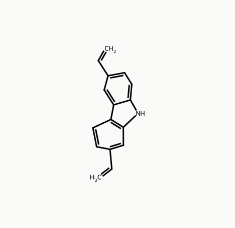 C=Cc1ccc2c(c1)[nH]c1ccc(C=C)cc12